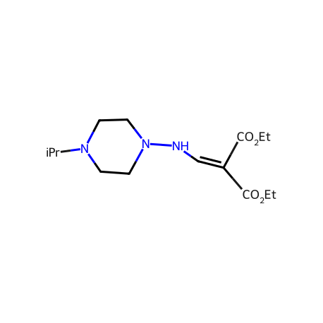 CCOC(=O)C(=CNN1CCN(C(C)C)CC1)C(=O)OCC